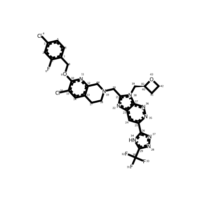 Fc1cc(Cl)ccc1COc1nc2c(cc1Cl)CCN(Cc1nc3cc(-c4nnc(C(F)(F)F)[nH]4)nnc3n1C[C@@H]1CCO1)C2